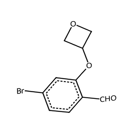 O=Cc1ccc(Br)cc1OC1COC1